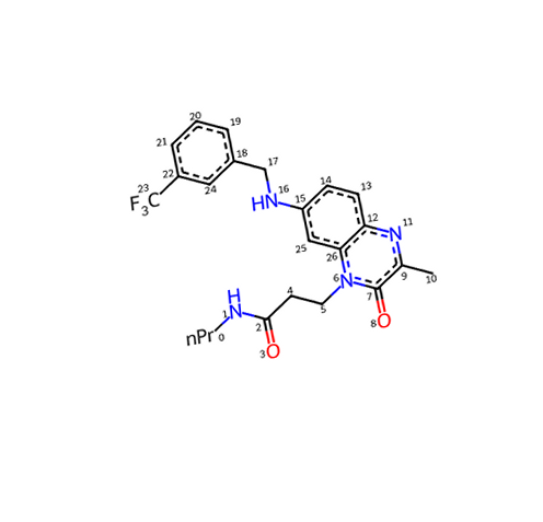 CCCNC(=O)CCn1c(=O)c(C)nc2ccc(NCc3cccc(C(F)(F)F)c3)cc21